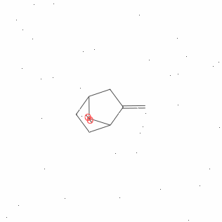 C=C1CC2CCC1C21OCCO1